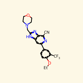 CCOc1ccc(-c2cc3[nH]c(CN4CCOCC4)nc3c(C#N)n2)cc1C(F)(F)F